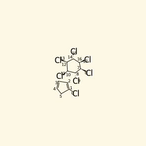 ClC1=CC=CC1.Cl[C@H]1[C@H](Cl)[C@@H](Cl)[C@@H](Cl)[C@H](Cl)[C@H]1Cl